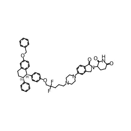 O=C1CCC(N2Cc3cc(N4CCN(CCCC(F)(F)COc5ccc([C@@H]6c7ccc(OCc8ccccc8)cc7CC[C@@H]6c6ccccc6)cc5)CC4)ccc3C2=O)C(=O)N1